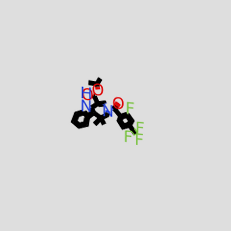 CC(C)OC(=O)C1=CN(C(=O)c2ccc(C(F)(F)F)cc2F)CC(C)(C)c2c1[nH]c1ccccc21